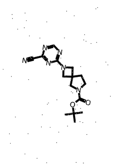 CC(C)(C)OC(=O)N1CCC2(C1)CN(c1ncnc(C#N)n1)C2